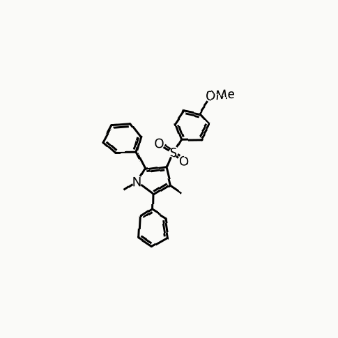 COc1ccc(S(=O)(=O)c2c(C)c(-c3ccccc3)n(C)c2-c2ccccc2)cc1